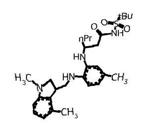 CCCC(CC(=O)NS(=O)(=O)C(C)(C)C)Nc1cc(C)ccc1NCC1CN(C)c2cccc(C)c21